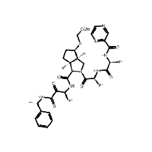 CCCC(NC(=O)C1[C@H]2CC[C@@H](OCOC)[C@H]2CN1C(=O)[C@@H](NC(=O)[C@@H](NC(=O)c1cnccn1)C(C)C)C(C)C)C(=O)C(=O)N[C@@H](C)c1ccccc1